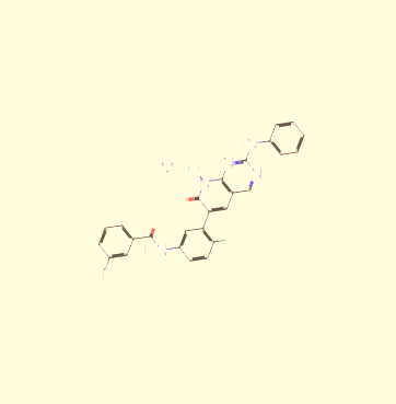 COn1c(=O)c(-c2cc(NC(=O)c3cccc(Cl)c3)ccc2Cl)cc2cnc(Nc3ccccc3)nc21